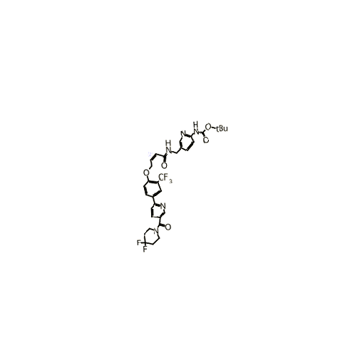 CC(C)(C)OC(=O)Nc1ccc(CNC(=O)/C=C\COc2ccc(-c3ccc(C(=O)N4CCC(F)(F)CC4)cn3)cc2C(F)(F)F)cn1